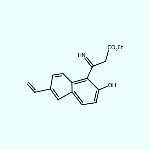 C=Cc1ccc2c(C(=N)CC(=O)OCC)c(O)ccc2c1